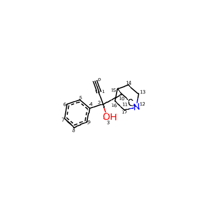 C#CC(O)(c1ccccc1)C1CN2CCC1CC2